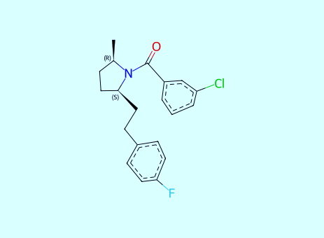 C[C@@H]1CC[C@H](CCc2ccc(F)cc2)N1C(=O)c1cccc(Cl)c1